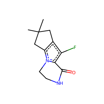 CC1(C)Cc2c(F)c3n(c2C1)CCNC3=O